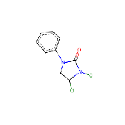 O=C1N(c2ccccc2)CC(Cl)N1Cl